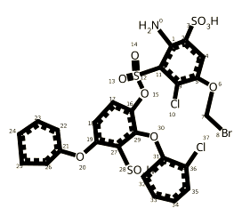 Nc1c(S(=O)(=O)O)cc(OCBr)c(Cl)c1S(=O)(=O)Oc1ccc(Oc2ccccc2)c(S(=O)(=O)O)c1Oc1ccccc1Cl